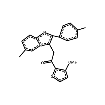 COc1ccsc1C(=O)Cc1c(-c2ccc(C)cc2)nc2ccc(C)cn12